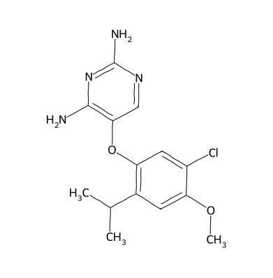 COc1cc(C(C)C)c(Oc2cnc(N)nc2N)cc1Cl